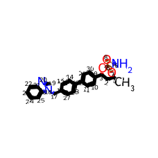 CCCC(OS(N)(=O)=O)c1ccc(-c2ccc(Cn3cnc4ccccc43)cc2)cc1